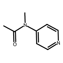 CC(=O)N(C)c1ccncc1